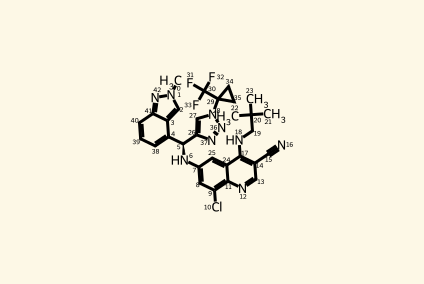 Cn1cc2c([C@H](Nc3cc(Cl)c4ncc(C#N)c(NCC(C)(C)C)c4c3)c3cn(C4(C(F)(F)F)CC4)nn3)cccc2n1